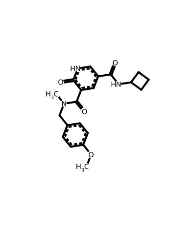 COc1ccc(CN(C)C(=O)c2cc(C(=O)NC3CCC3)c[nH]c2=O)cc1